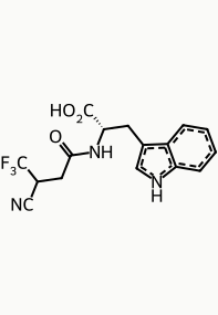 N#CC(CC(=O)N[C@@H](Cc1c[nH]c2ccccc12)C(=O)O)C(F)(F)F